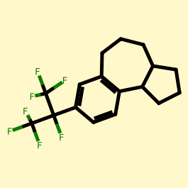 FC(F)(F)C(F)(c1ccc2c(c1)CCCC1CCCC21)C(F)(F)F